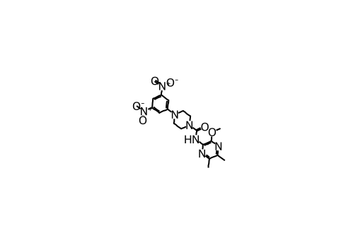 COc1nc(C)c(C)nc1NC(=O)N1CCN(c2cc([N+](=O)[O-])cc([N+](=O)[O-])c2)CC1